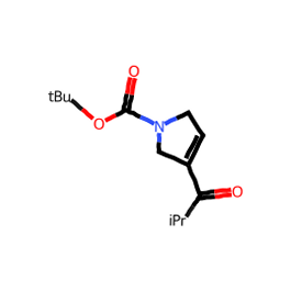 CC(C)C(=O)C1=CCN(C(=O)OC(C)(C)C)C1